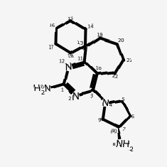 Nc1nc(N2CC[C@@H](N)C2)c2c(n1)C1(CCCCC1)CCCC2